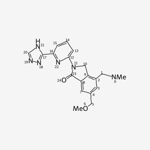 CNCc1cc(COC)cc2c1CN(c1cccc(-c3nnc[nH]3)n1)C2=O